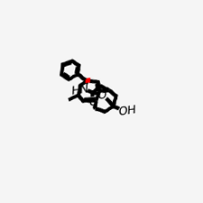 CC1C=C2C(=CCC1)C1CC3(O)CC2CC(NCc2ccccc2)(C1)O3